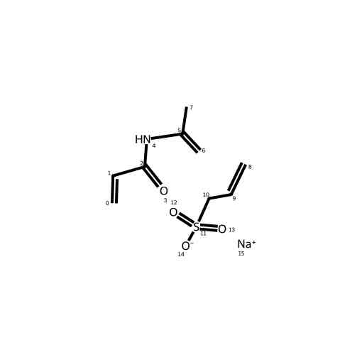 C=CC(=O)NC(=C)C.C=CCS(=O)(=O)[O-].[Na+]